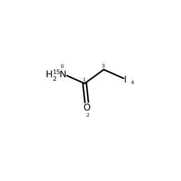 [15NH2]C(=O)CI